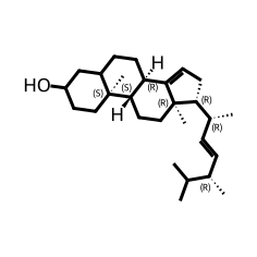 CC(C)[C@@H](C)C=C[C@@H](C)[C@H]1CC=C2[C@@H]3CCC4CC(O)CC[C@]4(C)[C@H]3CC[C@@]21C